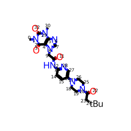 Cn1c(=O)c2c(ncn2CC(=O)Nc2ccc(N3CCN(C(=O)CC(C)(C)C)CC3)cn2)n(C)c1=O